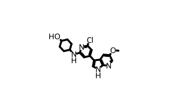 COc1cnc2[nH]cc(-c3cc(Cl)nc(NC4CCC(O)CC4)c3)c2c1